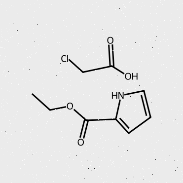 CCOC(=O)c1ccc[nH]1.O=C(O)CCl